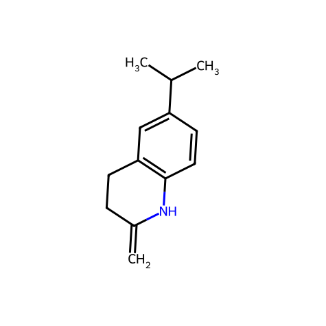 C=C1CCc2cc(C(C)C)ccc2N1